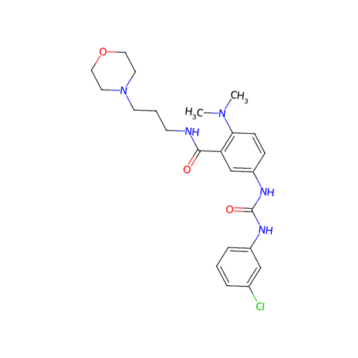 CN(C)c1ccc(NC(=O)Nc2cccc(Cl)c2)cc1C(=O)NCCCN1CCOCC1